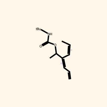 C=C/C=C(\C=C/C)C(C)OC(=O)NC(C)(C)C